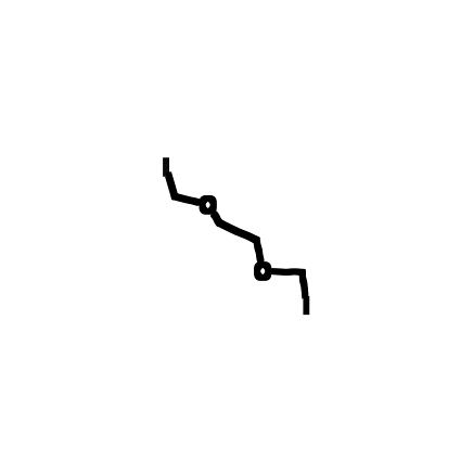 ICOCCOCI